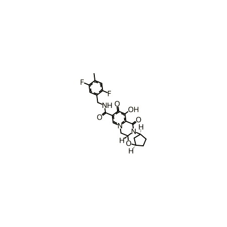 Cc1cc(F)c(CNC(=O)c2cn3c(c(O)c2=O)C(=O)N2[C@H]4CC[C@H](C4)O[C@@H]2C3)cc1F